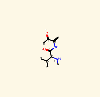 C=C(NC(=O)[C@@H](NC)C(C)C)C(C)=O